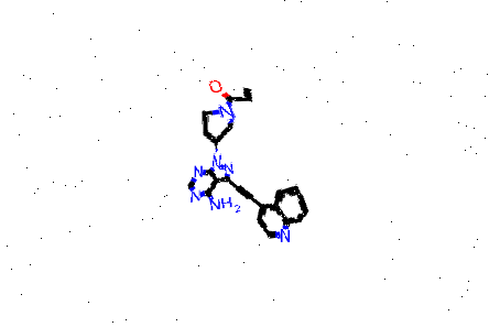 C=CC(=O)N1CC[C@@H](n2nc(C#Cc3ccnc4ccccc34)c3c(N)ncnc32)C1